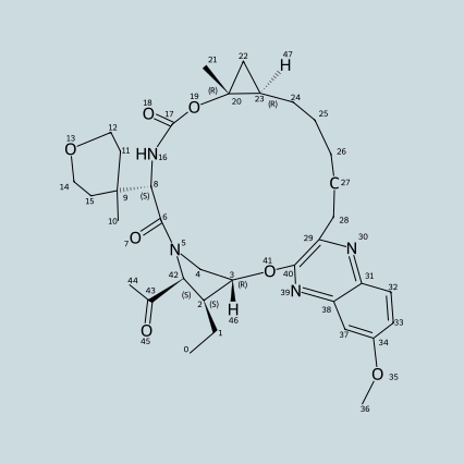 CC[C@@H]1[C@@H]2CN(C(=O)[C@H](C3(C)CCOCC3)NC(=O)O[C@]3(C)C[C@H]3CCCCCc3nc4ccc(OC)cc4nc3O2)[C@@H]1C(C)=O